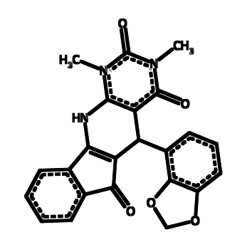 Cn1c2c(c(=O)n(C)c1=O)C(c1cccc3c1OCO3)C1=C(N2)c2ccccc2C1=O